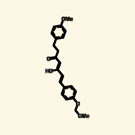 COCOc1ccc(C=CC(O)=CC(=O)CCc2ccc(OC)cc2)cc1